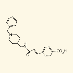 O=C(C=Cc1ccc(C(=O)O)cc1)NCC1CCN(Cc2ccccc2)CC1